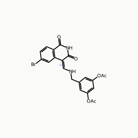 CC(=O)Oc1cc(CN/C=C2\C(=O)NC(=O)c3ccc(Br)cc32)cc(OC(C)=O)c1